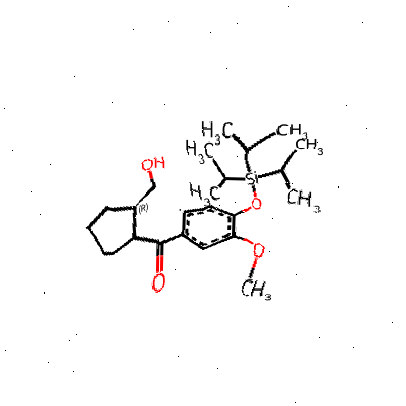 COc1cc(C(=O)C2CCC[C@H]2CO)[c]cc1O[Si](C(C)C)(C(C)C)C(C)C